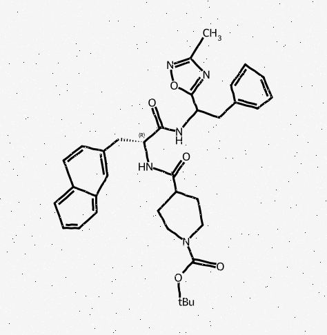 Cc1noc(C(Cc2ccccc2)NC(=O)[C@@H](Cc2ccc3ccccc3c2)NC(=O)C2CCN(C(=O)OC(C)(C)C)CC2)n1